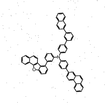 c1cc(-c2ccc(N(c3ccc(-c4ccc5c(ccc6ccccc65)c4)cc3)c3cccc(-c4cccc5oc6c7ccccc7ccc6c45)c3)cc2)cc(-c2ccc3ccccc3c2)c1